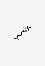 CN(C)CCCN[S+]([O-])C(C)(C)C